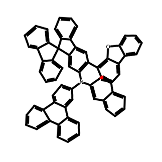 c1ccc2c(c1)-c1ccccc1C21c2ccccc2-c2cc(-c3cccc4c3oc3ccccc34)c(N(c3ccc4ccccc4c3)c3ccc4c5ccccc5c5ccccc5c4c3)cc21